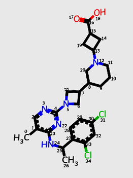 Cc1cnc(N2CC(C3CCCN(C4CC(C(=O)O)C4)C3)C2)nc1NC(C)c1ccc(Cl)cc1Cl